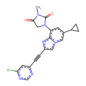 CN1C(=O)CN(c2cc(C3CC3)cn3cc(C#Cc4cc(Br)ncn4)nc23)C1=O